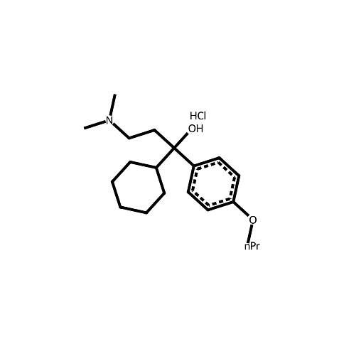 CCCOc1ccc(C(O)(CCN(C)C)C2CCCCC2)cc1.Cl